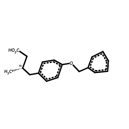 C[C@H](CC(=O)O)Cc1ccc(OCc2ccccc2)cc1